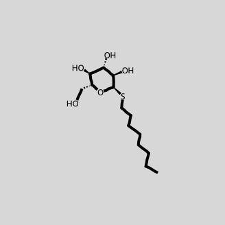 CCCCCCCCS[C@H]1O[C@H](CO)[C@@H](O)[C@H](O)[C@H]1O